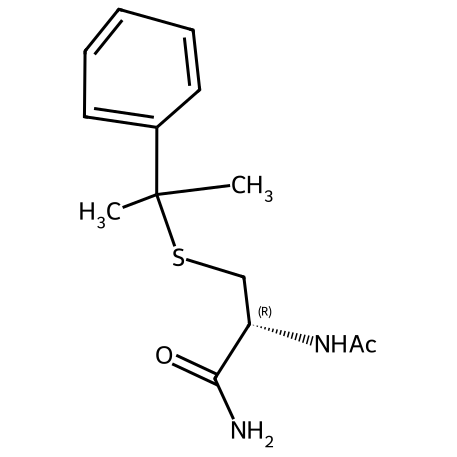 CC(=O)N[C@@H](CSC(C)(C)c1ccccc1)C(N)=O